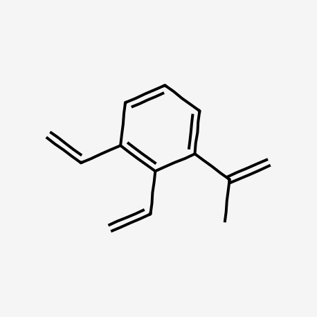 C=Cc1cccc(C(=C)C)c1C=C